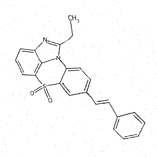 CCc1nc2cccc3c2n1-c1ccc(/C=C/c2ccccc2)cc1S3(=O)=O